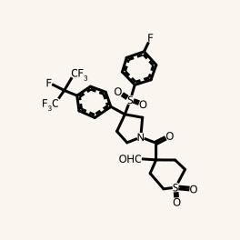 O=CC1(C(=O)N2CCC(c3ccc(C(F)(C(F)(F)F)C(F)(F)F)cc3)(S(=O)(=O)c3ccc(F)cc3)C2)CCS(=O)(=O)CC1